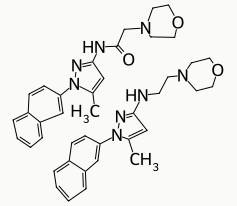 Cc1cc(NC(=O)CN2CCOCC2)nn1-c1ccc2ccccc2c1.Cc1cc(NCCN2CCOCC2)nn1-c1ccc2ccccc2c1